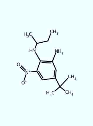 CCC(C)Nc1c(N)cc(C(C)(C)C)cc1[N+](=O)[O-]